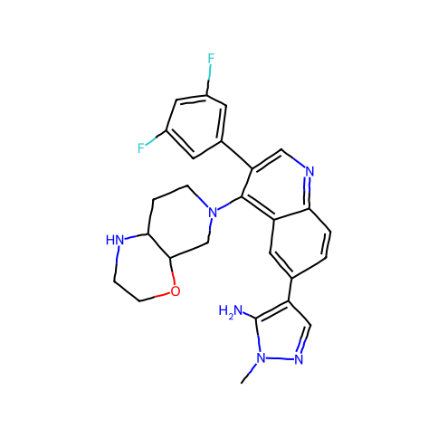 Cn1ncc(-c2ccc3ncc(-c4cc(F)cc(F)c4)c(N4CCC5NCCOC5C4)c3c2)c1N